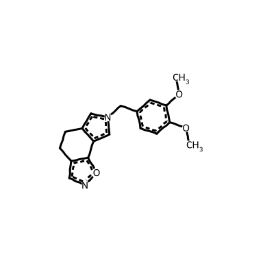 COc1ccc(Cn2cc3c(c2)-c2oncc2CC3)cc1OC